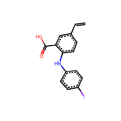 C=Cc1ccc(Nc2ccc(I)cc2)c(C(=O)O)c1